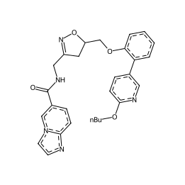 CCCCOc1ccc(-c2ccccc2OCC2CC(CNC(=O)c3ccc4nccn4c3)=NO2)cn1